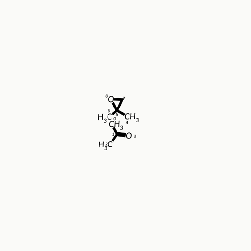 CC(C)=O.CC1(C)CO1